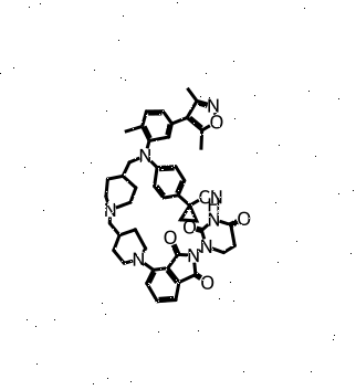 Cc1ccc(-c2c(C)noc2C)cc1N(CC1CCN(CC2CCN(c3cccc4c3C(=O)N(N3CCC(=O)NC3=O)C4=O)CC2)CC1)c1ccc(C2(C#N)CC2)cc1